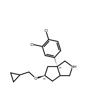 Clc1ccc([C@]23CNCC2C[C@@H](OCC2CC2)C3)cc1Cl